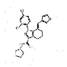 O=C(NN1CCCC1)c1nn(-c2ccc(Cl)cc2Cl)c2c1CCC/C2=C\c1ccoc1